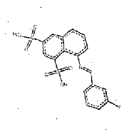 O=S(=O)(O)c1cc(S(=O)(=O)O)c2c(N=Cc3cccc(F)c3)cccc2c1